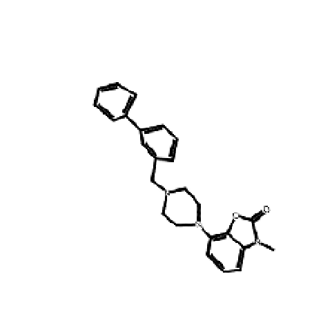 Cn1c(=O)oc2c(N3CCN(Cc4cccc(-c5ccccc5)c4)CC3)cccc21